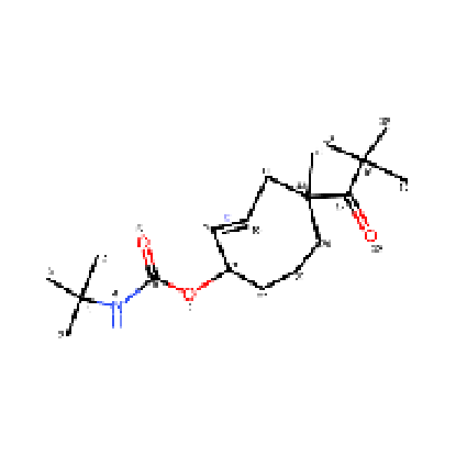 CC(C)(C)NC(=O)OC1/C=C/CC(C)(C(=O)C(C)(C)C)CCC1